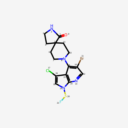 O=C1NCCC12CCN(c1c(Br)cnc3c1c(Cl)cn3SF)CC2